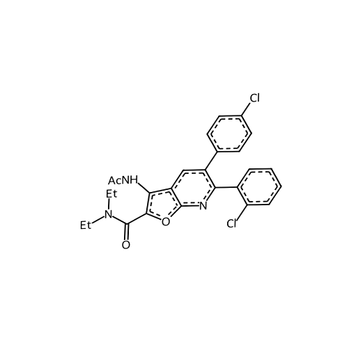 CCN(CC)C(=O)c1oc2nc(-c3ccccc3Cl)c(-c3ccc(Cl)cc3)cc2c1NC(C)=O